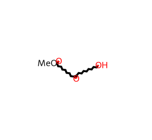 COC(=O)CCCCCCCC1OC1CCCCCCCCO